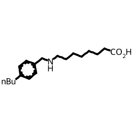 CCCCc1ccc(CNCCCCCCCC(=O)O)cc1